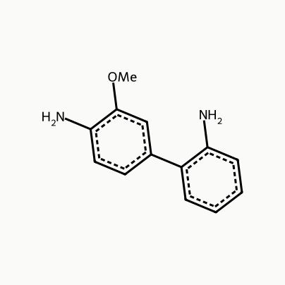 COc1cc(-c2ccccc2N)ccc1N